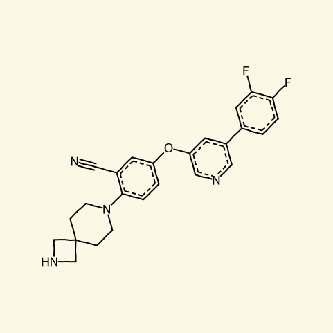 N#Cc1cc(Oc2cncc(-c3ccc(F)c(F)c3)c2)ccc1N1CCC2(CC1)CNC2